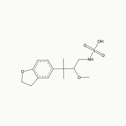 COC(CNS(=O)(=O)O)C(C)(C)c1ccc2c(c1)CCO2